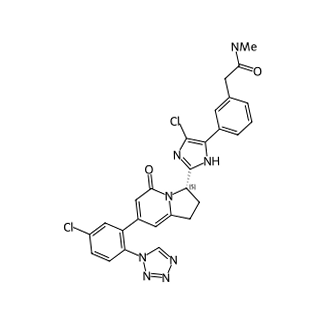 CNC(=O)Cc1cccc(-c2[nH]c([C@@H]3CCc4cc(-c5cc(Cl)ccc5-n5cnnn5)cc(=O)n43)nc2Cl)c1